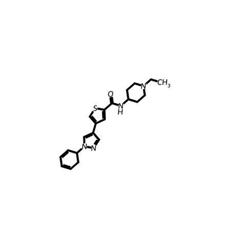 CCN1CCC(NC(=O)c2cc(-c3cnn(C4C=CC=CC4)c3)cs2)CC1